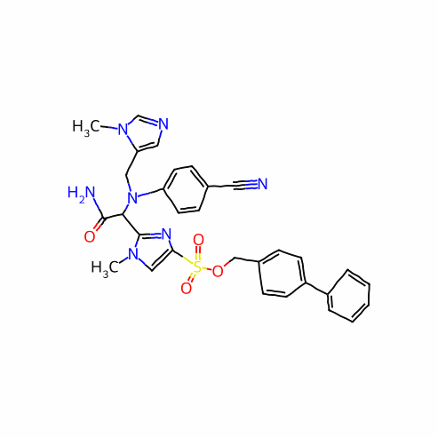 Cn1cncc1CN(c1ccc(C#N)cc1)C(C(N)=O)c1nc(S(=O)(=O)OCc2ccc(-c3ccccc3)cc2)cn1C